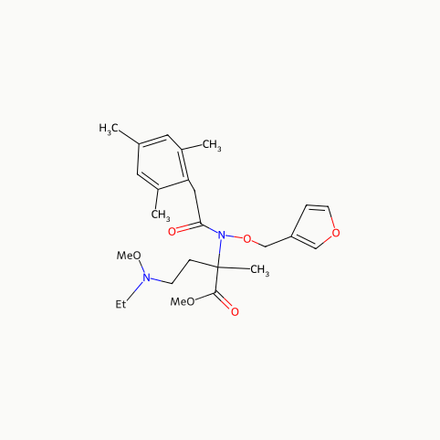 CCN(CCC(C)(C(=O)OC)N(OCc1ccoc1)C(=O)Cc1c(C)cc(C)cc1C)OC